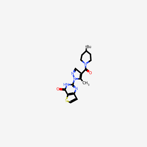 Cc1c(C(=O)N2CCC(C(C)(C)C)CC2)cnn1-c1nc2ccsc2c(=O)[nH]1